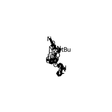 C[C@H]1CCCCN1c1nnc2ccc(O[C@@H]3CC[C@H](NC(=O)Nc4cc(C(C)(C)C)nn4-c4cncc(OCCN(C)C)c4)c4ccccc43)cn12.O=CO